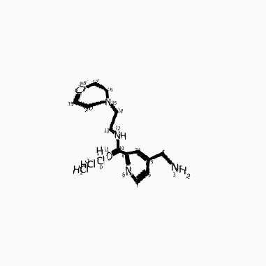 Cl.Cl.Cl.NCc1ccnc(C(=O)NCCN2CCOCC2)c1